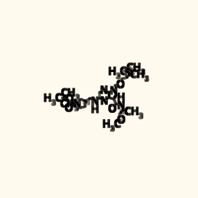 COC[C@H](C)NC(=O)c1cn(COCC[Si](C)(C)C)c2ncc(NC[C@H]3CCN(C(=O)OC(C)(C)C)C3)nc12